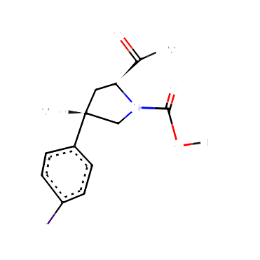 COC(=O)[C@@H]1C[C@@](OC)(c2ccc(I)cc2)CN1C(=O)OC(C)(C)C